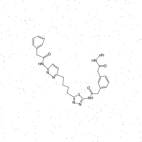 CCCNC(=O)Cc1cccc(CC(=O)Nc2nnc(CCCCc3ccc(NC(=O)Cc4ccccc4)nn3)s2)c1